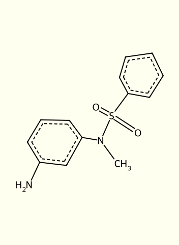 CN(c1cccc(N)c1)S(=O)(=O)c1ccccc1